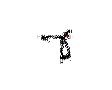 Nc1nc2c(c(OCc3ccc(COCCOCCOCCOCCNC(=O)CCOCC(COCCC(=O)CCCOCCOCCOCCOCc4ccc(COc5nc(N)nc6[nH]cnc56)cc4)(COCCC(=O)NCCOCCOCCOCCOCc4ccc(COc5nc(N)nc6[nH]cnc56)cc4)NC(=O)c4ccc5c(c4)C(=O)OC54c5ccc(O)cc5Oc5cc(O)ccc54)cc3)n1)N=CC2